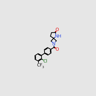 O=C1CCC2(CN(C(=O)c3ccc(-c4cccc(C(F)(F)F)c4Cl)cc3)C2)N1